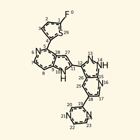 Fc1ccc(-c2nccc3[nH]c(-c4n[nH]c5ncc(-c6cnccn6)cc45)cc23)s1